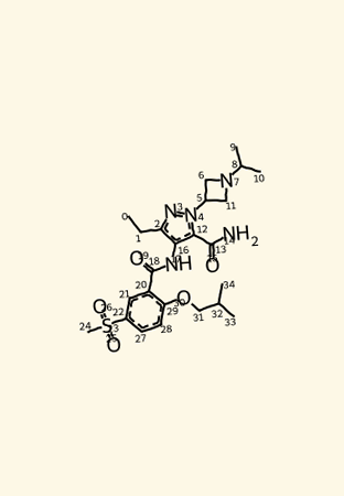 CCc1nn(C2CN(C(C)C)C2)c(C(N)=O)c1NC(=O)c1cc(S(C)(=O)=O)ccc1OCC(C)C